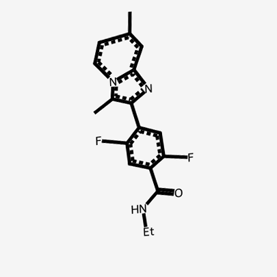 CCNC(=O)c1cc(F)c(-c2nc3cc(C)ccn3c2C)cc1F